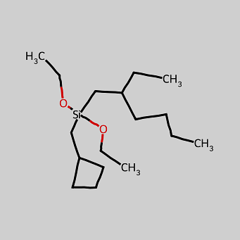 CCCCC(CC)C[Si](CC1CCC1)(OCC)OCC